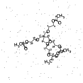 CC(=O)OCCOCC(COCCOC(C)=O)(COCCOC(C)=O)COCCOC(C)=O